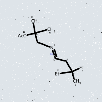 CCC(C)(CC)C/C=N/CC(C)(C)OC(C)=O